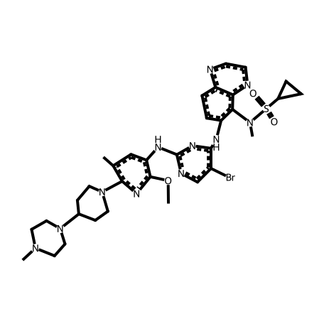 COc1nc(N2CCC(N3CCN(C)CC3)CC2)c(C)cc1Nc1ncc(Br)c(Nc2ccc3nccnc3c2N(C)S(=O)(=O)C2CC2)n1